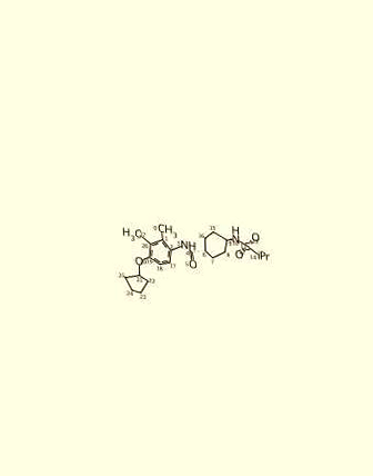 Cc1c(NC(=O)[C@H]2CC[C@H](NS(=O)(=O)C(C)C)CC2)ccc(OC2CCCC2)c1C